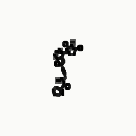 O=C1CCN(c2ncnc3oc(C#CCNC(=O)c4ccccn4)cc23)C(=O)N1